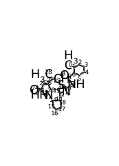 Cc1ccccc1C(=O)Nc1nc(-c2ccccc2)c(-c2n[nH]c(=O)cc2C(C)C)s1